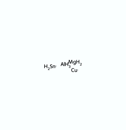 [AlH3].[Cu].[MgH2].[SnH2]